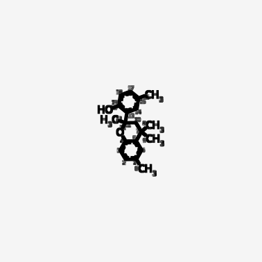 Cc1ccc2c(c1)C(C)(C)CC(C)(c1cc(C)ccc1O)O2